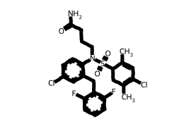 CC1=CC(Cl)=C(C)CC1S(=O)(=O)N(CCCC(N)=O)c1ccc(Cl)cc1Cc1c(F)cccc1F